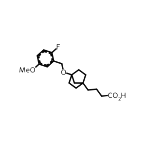 COc1ccc(F)c(COC23CCC(CCCC(=O)O)(CC2)C3)c1